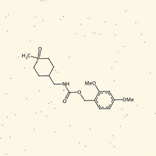 COc1ccc(COC(=O)NCC2CCP(C)(=O)CC2)c(OC)c1